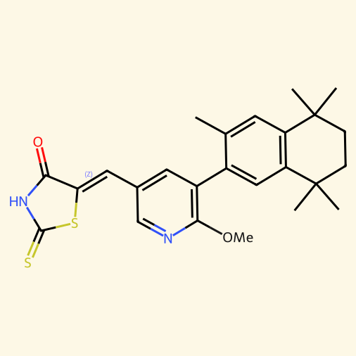 COc1ncc(/C=C2\SC(=S)NC2=O)cc1-c1cc2c(cc1C)C(C)(C)CCC2(C)C